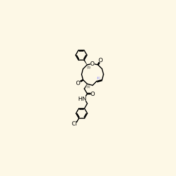 O=C(C[C@@H]1C/C=C/CCC(=O)O[C@H](c2ccccc2)CCC1=O)NCc1ccc(Cl)cc1